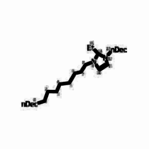 CCCCCCCCCCCCCCCCCCN1C=CN(CCCCCCCCCC)C1CC